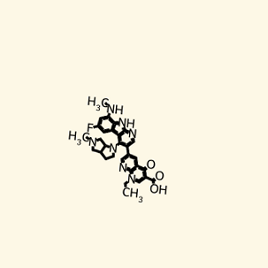 CCn1cc(C(=O)O)c(=O)c2cc(-c3cnc4[nH]c5c(NC)cc(F)cc5c4c3N3CCC4CN(C)CC43)cnc21